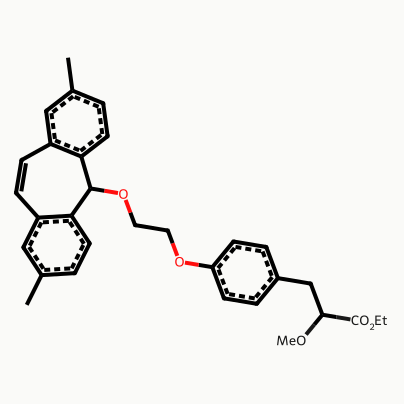 CCOC(=O)C(Cc1ccc(OCCOC2c3ccc(C)cc3C=Cc3cc(C)ccc32)cc1)OC